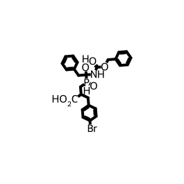 O=C(NC(O)(Cc1ccccc1)[PH](=O)CC(Cc1ccc(Br)cc1)C(=O)O)OCc1ccccc1